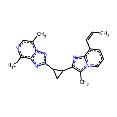 C/C=C\c1cccn2c(C)c(C3CC3c3nc4c(C)ncc(C)n4n3)nc12